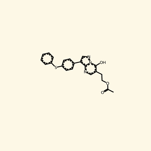 CC(=O)OCCc1cnc2c(-c3ccc(Sc4ccccc4)cc3)cnn2c1O